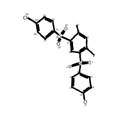 Cc1cc(C)c(S(=O)(=O)c2ccc(Cl)cc2)cc1S(=O)(=O)c1ccc(Cl)cc1